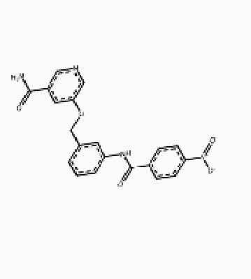 NC(=O)c1cncc(OCc2cccc(NC(=O)c3ccc([N+](=O)[O-])cc3)c2)c1